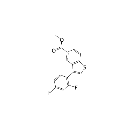 COC(=O)c1ccc2scc(-c3ccc(F)cc3F)c2c1